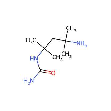 CC(C)(N)CC(C)(C)NC(N)=O